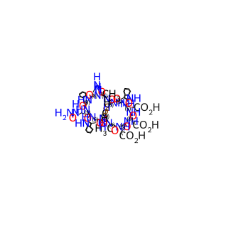 C[C@@H]1NC(=O)[C@@H]2CSS[C@H](NC(=O)[C@H](Cc3c[nH]c4ccccc34)NC(=O)[C@H](CCC(=O)O)NC(=O)[C@H](CCC(=O)O)NC(=O)[C@H](CCC(=O)O)NC1=O)C(=O)N[C@@H](C)C(=O)N[C@@H](Cc1c[nH]cn1)C(=O)N[C@H](Cc1ccccc1)C(=O)N[C@@H](CCCNC(N)=O)C(=O)N[C@@H](Cc1c[nH]c3ccccc13)C(=O)N2